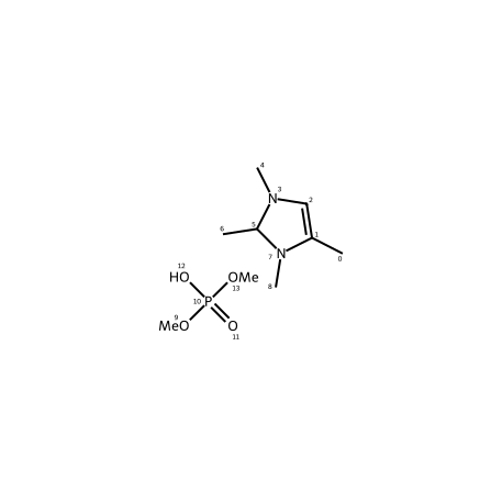 CC1=CN(C)C(C)N1C.COP(=O)(O)OC